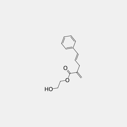 C=C(CC=Cc1ccccc1)C(=O)OCCO